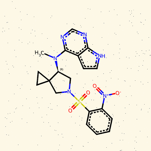 CN(c1ncnc2[nH]ccc12)[C@H]1CN(S(=O)(=O)c2ccccc2[N+](=O)[O-])CC12CC2